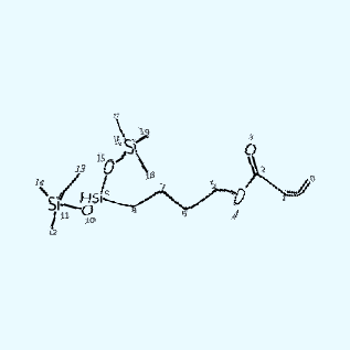 C=CC(=O)OCCCC[SiH](O[Si](C)(C)C)O[Si](C)(C)C